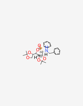 CC1(C)OCC(C2O[P@@](=O)(c3ccccc3)[C@H](NCc3ccccc3)[C@H]3OC(C)(C)O[C@@H]23)O1